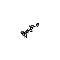 COc1cc2c(Oc3ccc(NS(=O)(=O)c4ccccc4F)cc3F)ccnc2cc1OCCCN1CCCCC1